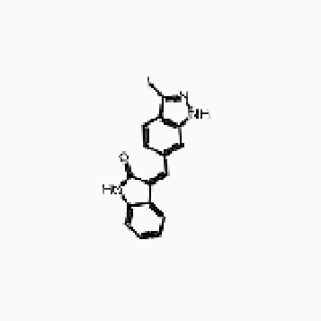 O=C1Nc2ccccc2C1=Cc1ccc2c(I)n[nH]c2c1